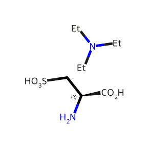 CCN(CC)CC.N[C@@H](CS(=O)(=O)O)C(=O)O